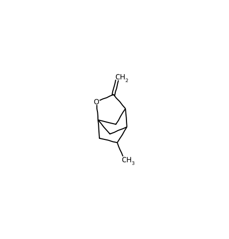 C=C1OC23CC(C)C(C2)C1C3